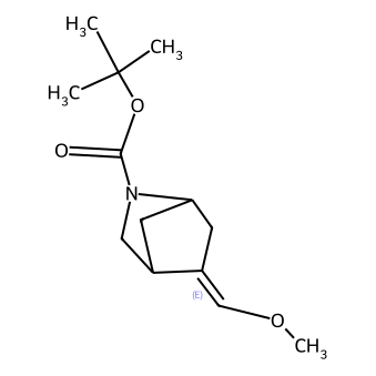 CO/C=C1\CC2CC1CN2C(=O)OC(C)(C)C